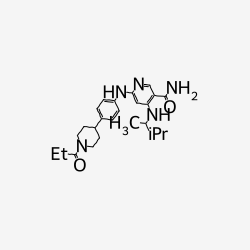 CCC(=O)N1CCC(c2ccc(Nc3cc(NC(C)C(C)C)c(C(N)=O)cn3)cc2)CC1